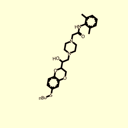 CCCCSc1ccc2c(c1)OCC(C(O)CN1CCN(CC(=O)Nc3c(C)cccc3C)CC1)O2